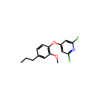 CCCc1ccc(Oc2cc(F)nc(F)c2)c(OC)c1